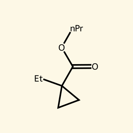 CCCOC(=O)C1(CC)CC1